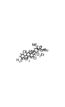 CCOC(=O)c1c(Cl)nc2c(F)c(-c3cccc(C)c3C(F)(F)F)c(Cl)cc2c1N[C@H]1CCN(C(=O)OC(C)(C)C)[C@H](CC#N)C1